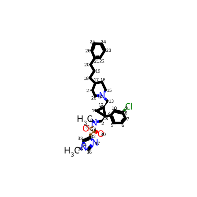 CN(C[C@@]1(c2cccc(Cl)c2)C[C@H]1CN1CCC(CCCc2ccccc2)CC1)S(=O)(=O)c1cn(C)cn1